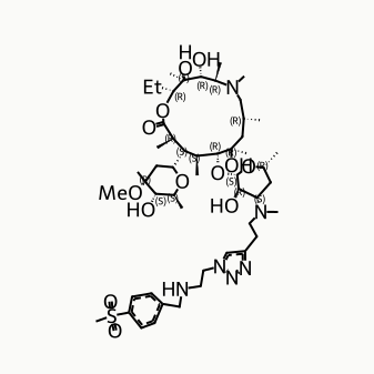 CC[C@H]1OC(=O)[C@H](C)[C@@H](C2C[C@@](C)(OC)[C@@H](O)[C@H](C)O2)[C@H](C)[C@@H](O[C@@H]2O[C@H](C)C[C@H](N(C)CCc3cn(CCNCc4ccc(S(C)(=O)=O)cc4)nn3)[C@H]2O)[C@](C)(O)C[C@@H](C)CN(C)[C@H](C)[C@@H](O)[C@]1(C)O